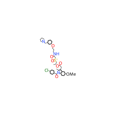 COc1ccc2c(c1)c(CC(=O)OC(C)C[S+]([O-])CC(=O)NCCCOc1cccc(CN3CCCC3)c1)c(C)n2C(=O)c1ccc(Cl)cc1